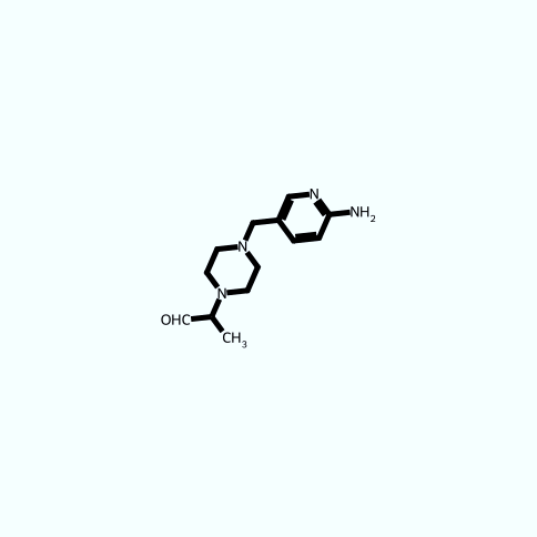 CC(C=O)N1CCN(Cc2ccc(N)nc2)CC1